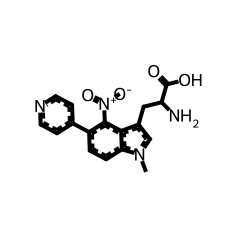 Cn1cc(CC(N)C(=O)O)c2c([N+](=O)[O-])c(-c3ccncc3)ccc21